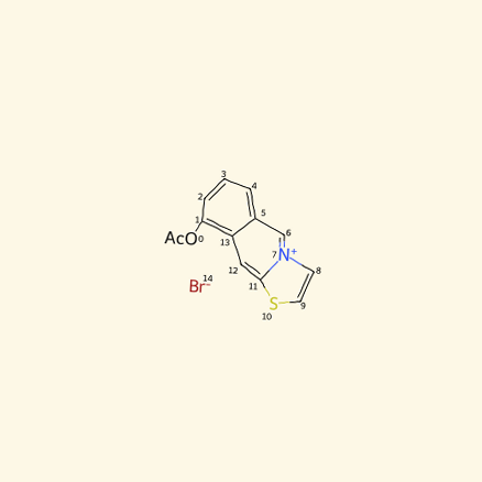 CC(=O)Oc1cccc2c[n+]3ccsc3cc12.[Br-]